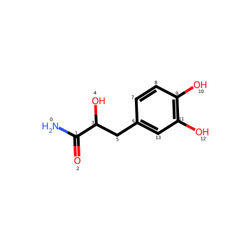 NC(=O)C(O)Cc1ccc(O)c(O)c1